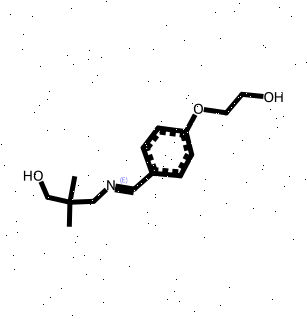 CC(C)(CO)C/N=C/c1ccc(OCCO)cc1